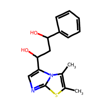 Cc1sc2ncc(C(O)CC(O)c3ccccc3)n2c1C